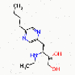 CCCCc1cnc(C[C@H](NCC)[C@H](O)CO)cn1